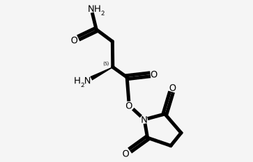 NC(=O)C[C@H](N)C(=O)ON1C(=O)CCC1=O